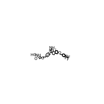 Nc1nc2c(c(N3CCN(CCO[C@H]4C[C@@H](C(=O)NO)C4)CC3)n1)CCc1cc(OCc3ccc(OC(F)(F)F)cc3)ccc1-2